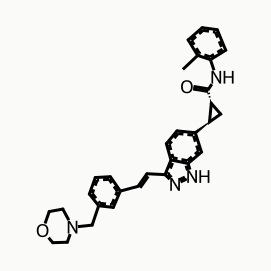 Cc1ccccc1NC(=O)[C@@H]1C[C@H]1c1ccc2c(/C=C/c3cccc(CN4CCOCC4)c3)n[nH]c2c1